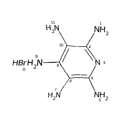 Br.Nc1nc(N)c(N)c(N)c1N